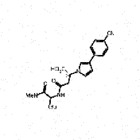 CNC(=O)C(NC(=O)C[C@H](C(=O)O)n1ccc(-c2ccc(C#N)cc2)c1)C(C)(C)C